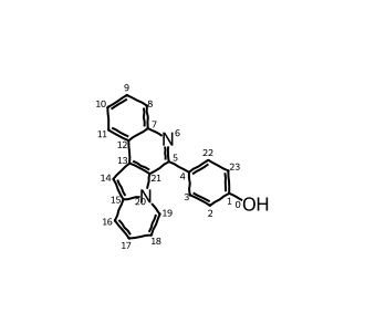 Oc1ccc(-c2nc3ccccc3c3cc4ccccn4c23)cc1